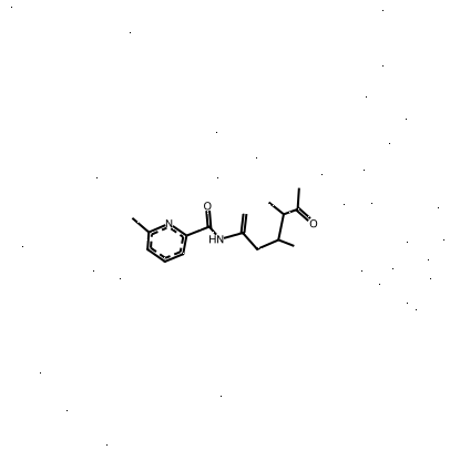 C=C(CC(C)C(C)C(C)=O)NC(=O)c1cccc(C)n1